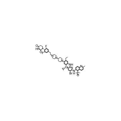 CCc1cc(Nc2ncc(Br)c(Nc3ccc4nc(C)ccc4c3P(C)(C)=O)n2)c(OC2CC2)cc1N1CCC(N2CCN(CCc3cc(F)c([C@H]4CCC(=O)NC4=O)c(F)c3)CC2)CC1